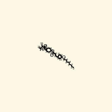 CCCCCCCCOc1ccc(/C=C/C(=O)O[C@H]2CC[C@H](NC(=O)C(C)CC)CC2)cc1